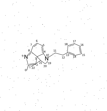 CC1=CC23C(=CC=CC2=N1)N(CCc1ccccc1)CCC3C